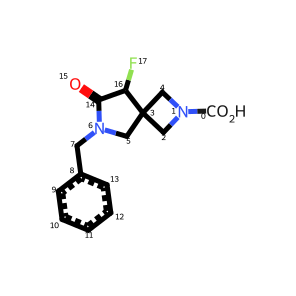 O=C(O)N1CC2(C1)CN(Cc1ccccc1)C(=O)C2F